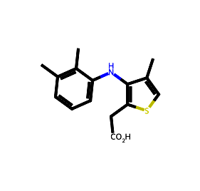 Cc1cccc(Nc2c(C)csc2CC(=O)O)c1C